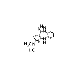 CCN(C)c1ncc2c(n1)Nc1ccccc1-n1nnnc1-2